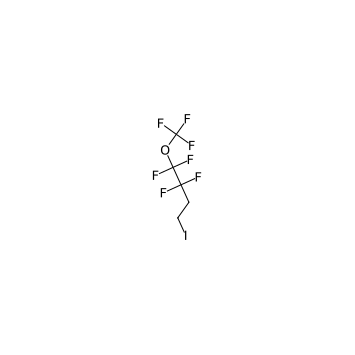 FC(F)(F)OC(F)(F)C(F)(F)CCI